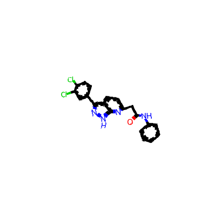 O=C(Cc1ccc2c(-c3ccc(Cl)c(Cl)c3)n[nH]c2n1)Nc1ccccc1